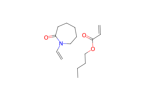 C=CC(=O)OCCCC.C=CN1CCCCCC1=O